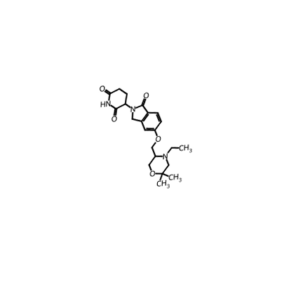 CCN1CC(C)(C)OCC1COc1ccc2c(c1)CN(C1CCC(=O)NC1=O)C2=O